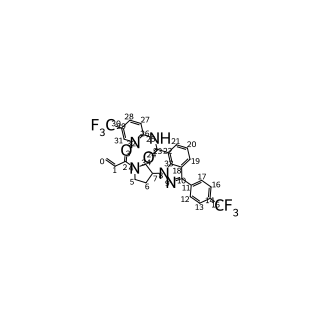 C=CC(=O)N1CCC(n2nc(-c3ccc(C(F)(F)F)cc3)c3cccc(C(=O)Nc4ccc(C(F)(F)F)cn4)c32)C1